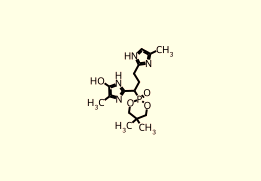 Cc1c[nH]c(CCC(c2nc(C)c(O)[nH]2)P2(=O)OCC(C)(C)CO2)n1